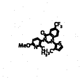 COc1ccc(N2CN(c3sccc3C)c3ccc(C(F)(F)F)cc3C2=O)c(C)n1